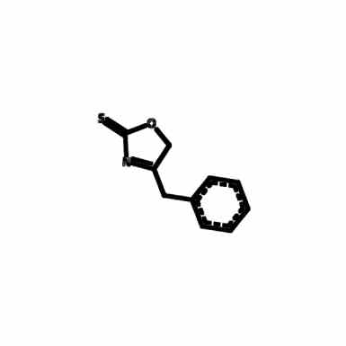 S=C1N=C(Cc2ccccc2)CO1